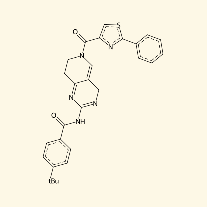 CC(C)(C)c1ccc(C(=O)NC2=NCC3=CN(C(=O)c4csc(-c5ccccc5)n4)CCC3=N2)cc1